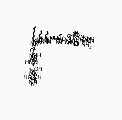 CCCCCCc1nnn[nH]1.CCCc1nnn[nH]1.CCCc1nnnn1N.CCOc1nnn[nH]1.CCc1nnnn1CC.COc1nnnn1OC.Cc1nnn[nH]1.Cc1nnnn1Cc1ccccc1.Cn1nnnc1O.Nc1nnn[nH]1.Oc1nnnn1O.c1nnn[nH]1